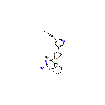 CC#Cc1cncc(-c2csc(C3(C)N=C(N)SC4(CCCCC4)C3(F)F)c2)c1